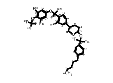 CCCCCc1ccc(C(F)(F)OC2CCC(c3ccc(C(F)(F)Oc4cc(F)c(OC(F)(F)F)c(F)c4)c(F)c3)CO2)cc1